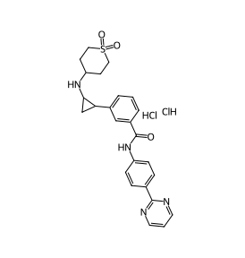 Cl.Cl.O=C(Nc1ccc(-c2ncccn2)cc1)c1cccc(C2CC2NC2CCS(=O)(=O)CC2)c1